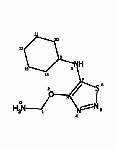 NCOc1nnsc1NC1CCCCC1